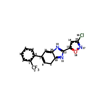 FC(F)(F)c1ccccc1C1=CCC2=NC(c3cc(Cl)no3)=NC2=C1